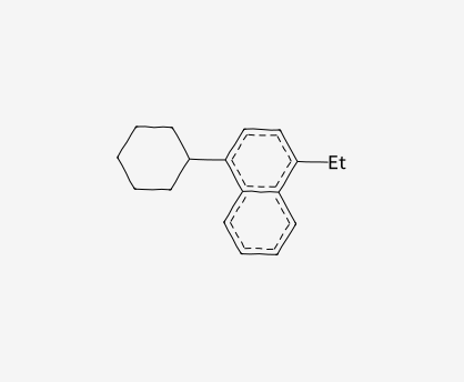 [CH2]Cc1ccc(C2CCCCC2)c2ccccc12